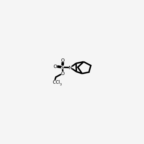 O=S(=O)(OCC(Cl)(Cl)Cl)N1C2C3CCC(C3)C21